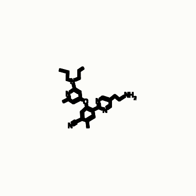 CCCN(CCC)c1cc(Oc2cc(C#N)c(C)cc2-c2ncc(CCN)cn2)cc(C)n1